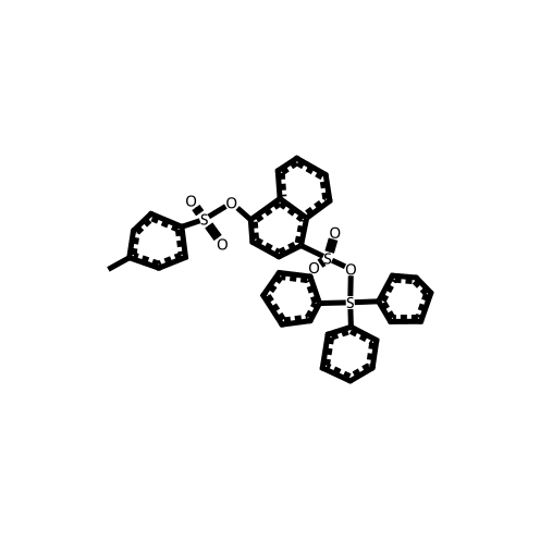 Cc1ccc(S(=O)(=O)Oc2ccc(S(=O)(=O)OS(c3ccccc3)(c3ccccc3)c3ccccc3)c3ccccc23)cc1